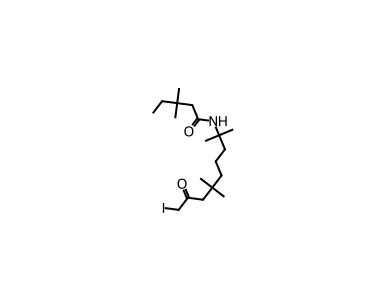 CCC(C)(C)CC(=O)NC(C)(C)CCCC(C)(C)CC(=O)CI